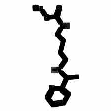 CC(NCCCCNC(=O)OC(C)(C)C)c1ccccn1